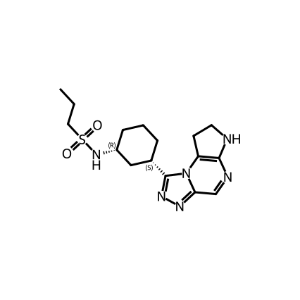 CCCS(=O)(=O)N[C@@H]1CCC[C@H](c2nnc3cnc4c(n23)CCN4)C1